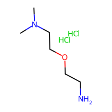 CN(C)CCOCCN.Cl.Cl